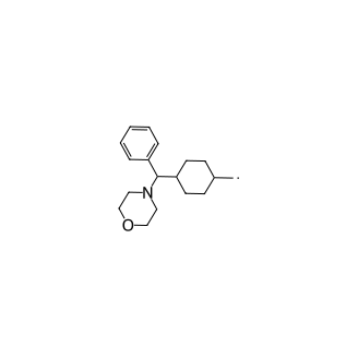 [CH2]C1CCC(C(c2ccccc2)N2CCOCC2)CC1